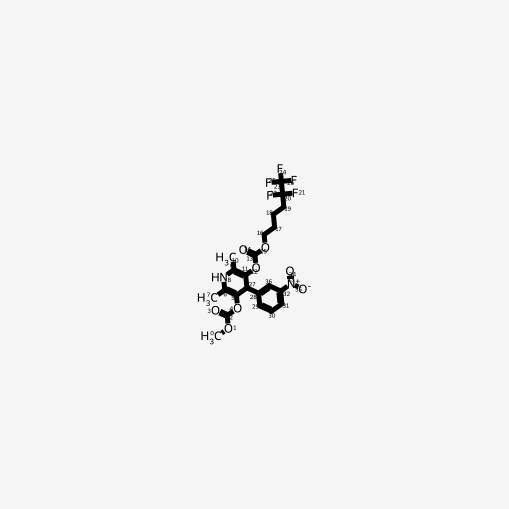 COC(=O)OC1=C(C)NC(C)=C(OC(=O)OCCCCC(F)(F)C(F)(F)F)C1c1cccc([N+](=O)[O-])c1